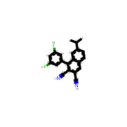 CC(C)c1ccc2cc(C#N)c(C#N)c(-c3cc(F)cc(F)c3)c2c1